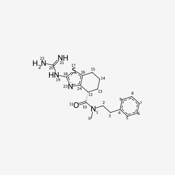 CN(CCc1ccccc1)C(=O)[C@H]1CCCc2sc(NC(=N)N)nc21